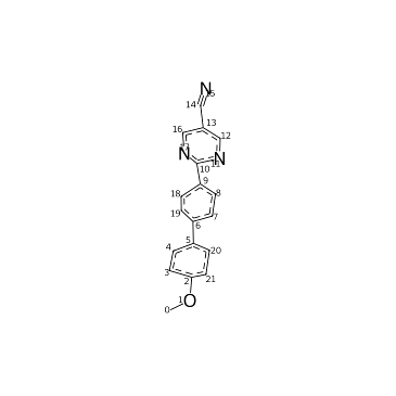 COc1ccc(-c2ccc(-c3ncc(C#N)cn3)cc2)cc1